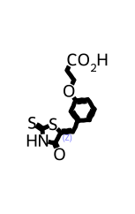 O=C(O)CCOc1cccc(/C=C2\SC(=S)NC2=O)c1